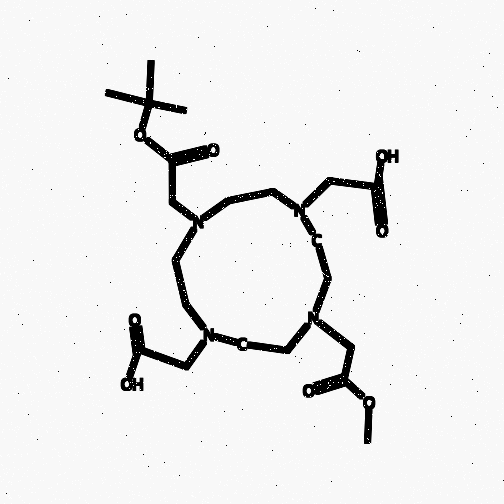 COC(=O)CN1CCN(CC(=O)O)CCN(CC(=O)OC(C)(C)C)CCN(CC(=O)O)CC1